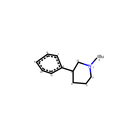 CC(C)(C)N1CCCC(c2ccccc2)C1